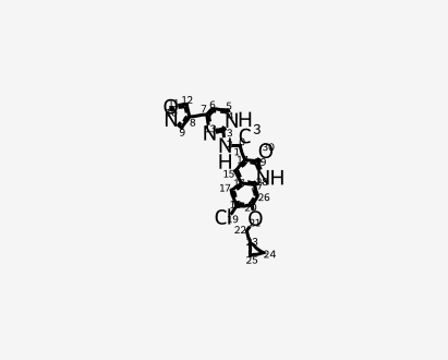 C[C@H](Nc1nccc(-c2cnoc2)n1)c1cc2cc(Cl)c(OCC3CC3)cc2[nH]c1=O